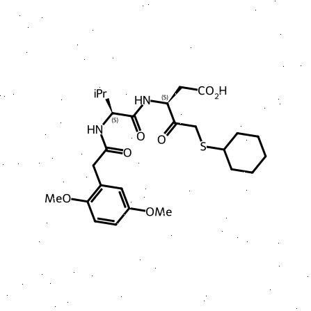 COc1ccc(OC)c(CC(=O)N[C@H](C(=O)N[C@@H](CC(=O)O)C(=O)CSC2CCCCC2)C(C)C)c1